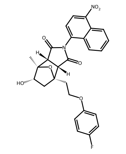 C[C@]12O[C@](CCOc3ccc(F)cc3)(C[C@@H]1O)[C@H]1C(=O)N(c3ccc([N+](=O)[O-])c4ccccc34)C(=O)[C@H]12